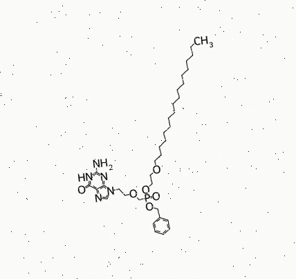 CCCCCCCCCCCCCCCCCCOCCOP(=O)(COCCn1cnc2c(=O)[nH]c(N)nc21)OCc1ccccc1